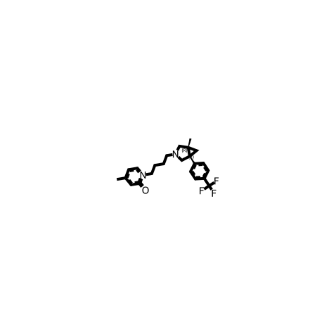 Cc1ccn(CCCCN2C[C@]3(C)C[C@]3(c3ccc(C(F)(F)F)cc3)C2)c(=O)c1